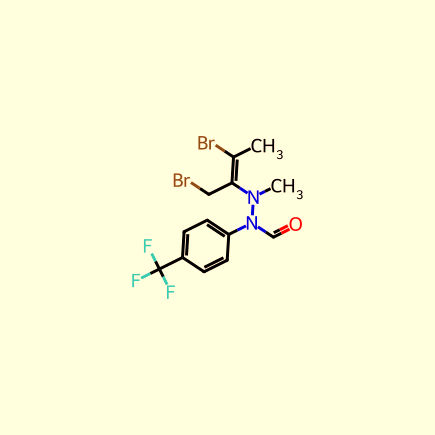 C/C(Br)=C(/CBr)N(C)N(C=O)c1ccc(C(F)(F)F)cc1